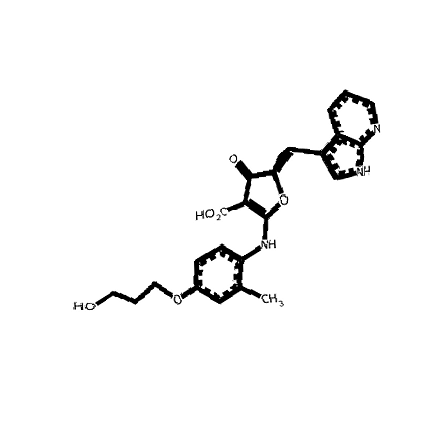 Cc1cc(OCCCO)ccc1NC1=C(C(=O)O)C(=O)C(=Cc2c[nH]c3ncccc23)O1